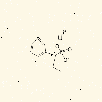 CCC(c1ccccc1)P(=O)([O-])[O-].[Li+].[Li+]